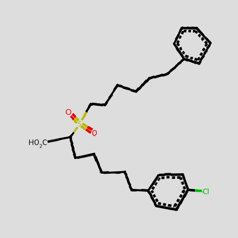 O=C(O)C(CCCCCc1ccc(Cl)cc1)S(=O)(=O)CCCCCCc1ccccc1